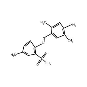 Cc1cc(/N=N/c2ccc(N)cc2S(C)(=O)=O)c(C)cc1N